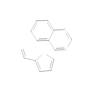 O=Cc1ccco1.c1ccc2ncncc2c1